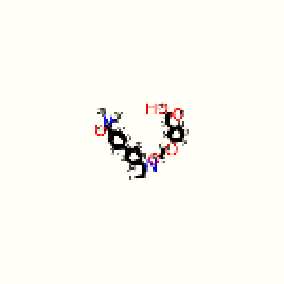 CCC(=NOCCOc1cccc(CC(=O)O)c1)c1ccc(-c2ccc(C(=O)N(C)C)cc2)cc1